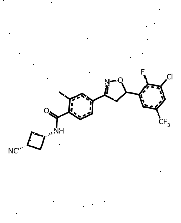 Cc1cc(C2=NOC(c3cc(C(F)(F)F)cc(Cl)c3F)C2)ccc1C(=O)N[C@H]1C[C@@H](C#N)C1